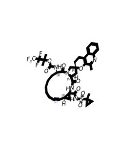 Cc1nc2ccccc2c2c1O[C@]1(CC2)C[C@H]2C(=O)NC3(C(=O)NS(=O)(=O)C4(C)CC4)C[C@H]3/C=C\CCCCC[C@H](NC(=O)OC(C)(C)C(F)(F)C(F)(F)F)C(=O)N2C1